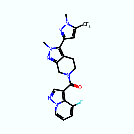 Cn1nc(-c2c3c(nn2C)CN(C(=O)c2cnn4cccc(F)c24)CC3)cc1C(F)(F)F